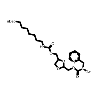 CCCCCCCCCCCCCCCCCNC(=O)OCC1COC(COC(=O)N(Cc2ccccn2)C(C)=O)O1